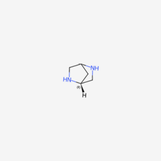 C1N[C@H]2CN[C]1C2